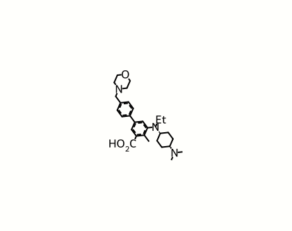 CCN(c1cc(-c2ccc(CN3CCOCC3)cc2)cc(C(=O)O)c1C)[C@H]1CC[C@H](N(C)C)CC1